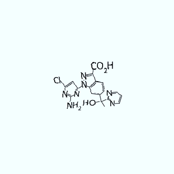 CC(O)(c1ccc2c(C(=O)O)nn(-c3cc(Cl)nc(N)n3)c2c1)c1ncccn1